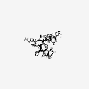 Cc1cc([C@@H](C)Nc2ccc(C(F)(F)F)nc2C)c2oc(-c3ccccc3)c(C)c(=O)c2c1